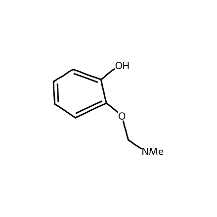 CNCOc1ccccc1O